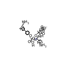 C[n+]1cc(-c2ccc(OC[C@H](O/N=C(\C(=O)NC3C(=O)N(OS(=O)(=O)[O-])C3(C)C)c3csc(N)n3)C(=O)O)cc2)cn1CCN